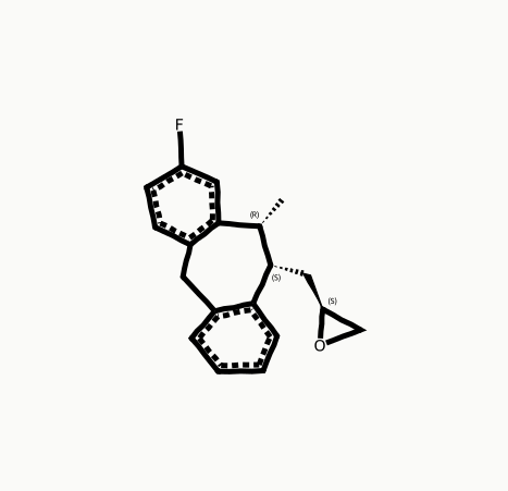 C[C@H]1c2cc(F)ccc2Cc2ccccc2[C@H]1C[C@H]1CO1